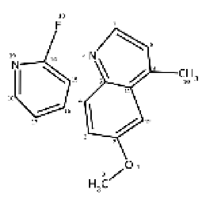 COc1ccc2nccc(C)c2c1.Fc1ccccn1